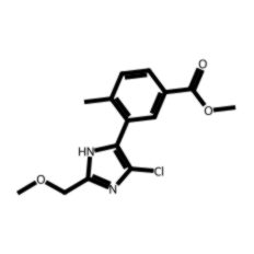 COCc1nc(Cl)c(-c2cc(C(=O)OC)ccc2C)[nH]1